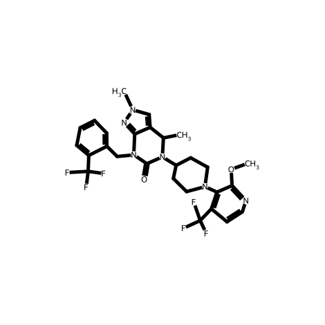 COc1nccc(C(F)(F)F)c1N1CCC(N2C(=O)N(Cc3ccccc3C(F)(F)F)c3nn(C)cc3C2C)CC1